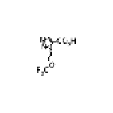 O=C(O)c1cnnn1CCOC(F)(F)F